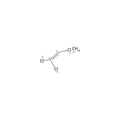 C.ClC=C(Cl)Cl